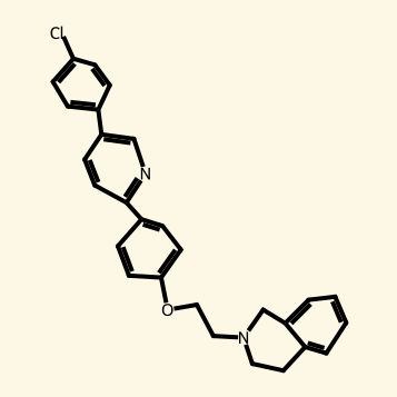 Clc1ccc(-c2ccc(-c3ccc(OCCN4CCc5ccccc5C4)cc3)nc2)cc1